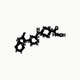 Cc1nc2ccccn2c1-c1ccnc(Nc2cnc(C(=O)NO)cn2)n1